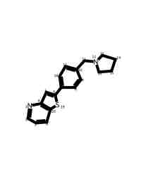 [c]1ccnc2cc(-c3ccc(CN4CCCC4)cc3)sc12